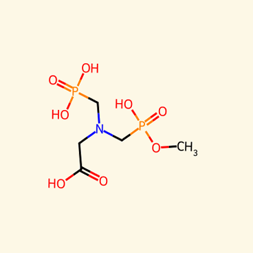 COP(=O)(O)CN(CC(=O)O)CP(=O)(O)O